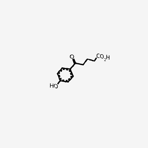 O=C(O)CCCC(=O)c1ccc(O)cc1